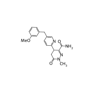 COc1cccc(Cc2ccc(C3CC(=O)N(C)N=C3C(N)=O)nc2)c1